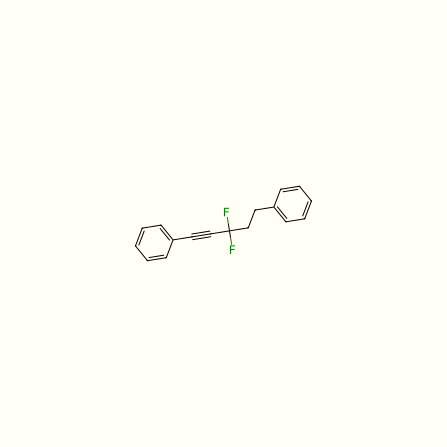 FC(F)(C#Cc1ccccc1)CCc1ccccc1